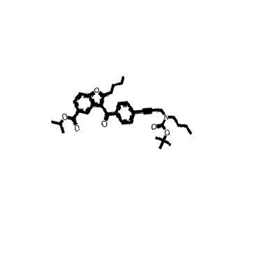 CCCCc1oc2ccc(C(=O)OC(C)C)cc2c1C(=O)c1ccc(C#CCN(CCCC)C(=O)OC(C)(C)C)cc1